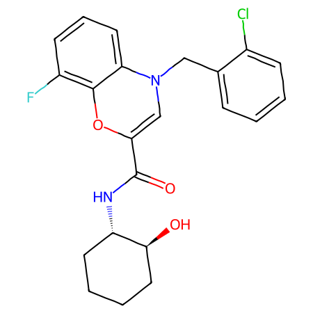 O=C(N[C@H]1CCCC[C@@H]1O)C1=CN(Cc2ccccc2Cl)c2cccc(F)c2O1